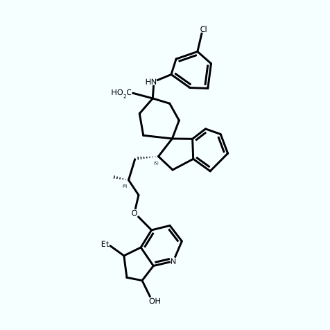 CCC1CC(O)c2nccc(OC[C@H](C)C[C@H]3Cc4ccccc4C34CCC(Nc3cccc(Cl)c3)(C(=O)O)CC4)c21